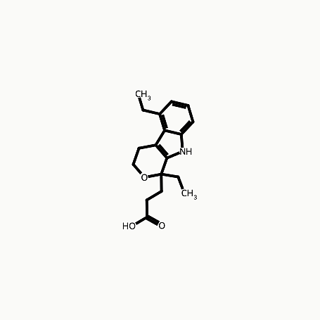 CCc1cccc2[nH]c3c(c12)CCOC3(CC)CCC(=O)O